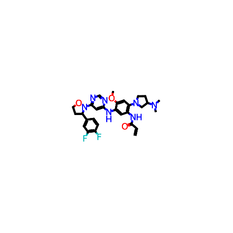 C=CC(=O)Nc1cc(Nc2cc(N3OCCC3c3ccc(F)c(F)c3)ncn2)c(OC)cc1N1CCC(N(C)C)C1